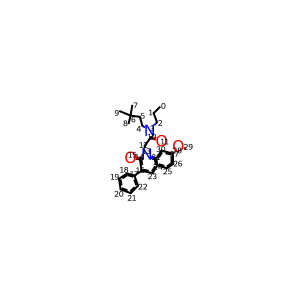 CCCN(CCC(C)(C)C)C(=O)Cn1c(=O)c(-c2ccccc2)cc2ccc(OC)cc21